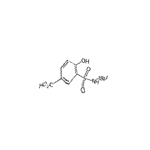 CC(C)(C)NS(=O)(=O)c1cc(C(=O)O)ccc1O